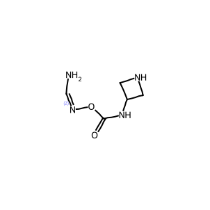 N/C=N\OC(=O)NC1CNC1